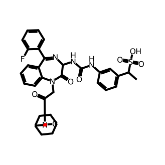 CC(c1cccc(NC(=O)NC2N=C(c3ccccc3F)c3ccccc3N(CC(=O)N3CC4CCC(CC4)C3)C2=O)c1)S(=O)(=O)O